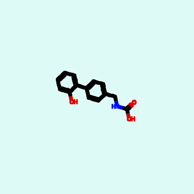 O=C(O)NCc1ccc(-c2ccccc2O)cc1